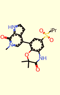 CC(C)S(=O)(=O)c1cc2c(c(-c3cn(C)c(=O)c4[nH]ccc34)c1)OC(C)(C)C(=O)N2